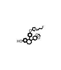 Oc1ccc2c(c1)CCCC(C1=CCC3(CC1)OCCO3)=C2c1ccc(OC2CCN(CCCF)C2)cc1